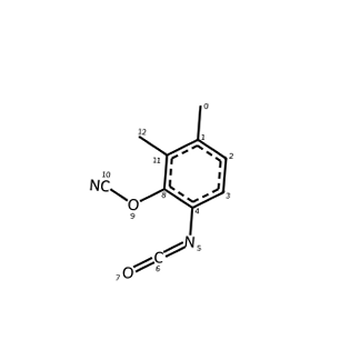 Cc1ccc(N=C=O)c(OC#N)c1C